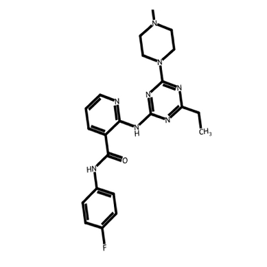 CCc1nc(Nc2ncccc2C(=O)Nc2ccc(F)cc2)nc(N2CCN(C)CC2)n1